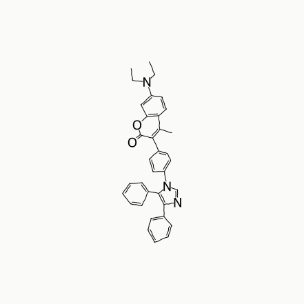 CCN(CC)c1ccc2c(C)c(-c3ccc(-n4cnc(-c5ccccc5)c4-c4ccccc4)cc3)c(=O)oc2c1